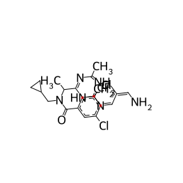 C=C(/N=C\C(Cl)=C/N)N/C(=N\C(C)=N)C(C)N(CC1CC1)C(=O)c1cc(Cl)cc(C(F)(F)F)c1